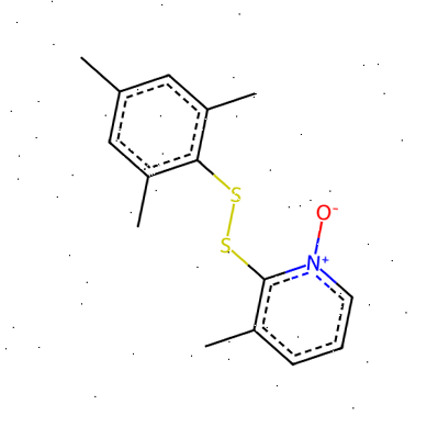 Cc1cc(C)c(SSc2c(C)ccc[n+]2[O-])c(C)c1